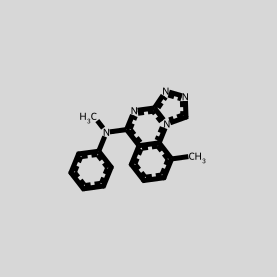 Cc1cccc2c(N(C)c3ccccc3)nc3nncn3c12